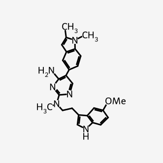 COc1ccc2[nH]cc(CCN(C)c3ncc(-c4ccc5c(c4)cc(C)n5C)c(N)n3)c2c1